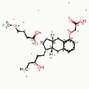 CC[C@H](O)CC[C@@H]1[C@H]2Cc3cccc(OCC(=O)O)c3C[C@H]2C[C@H]1OC(=O)CCCOC